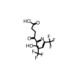 O=C(O)CCC(=O)c1nc(C(F)(F)F)cc(C(F)(F)F)c1O